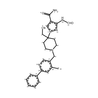 N#CCC1(n2cc(C(N)=O)c(NC=O)n2)CCN(Cc2cnc(-c3ccccc3)cc2F)CC1